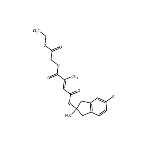 C/C(=C\C(=O)OC1(C)Cc2ccc(Cl)cc2C1)C(=O)OCC(=O)OCC(Cl)(Cl)Cl